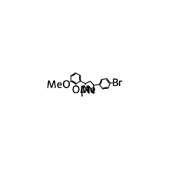 COc1cccc(C2CC(c3ccc(Br)cc3)=NN2I)c1OC